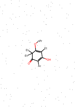 CCCOC1=C(CC)C(O)=C(C(C)=O)C(=O)C1(CC)CC